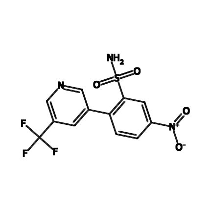 NS(=O)(=O)c1cc([N+](=O)[O-])ccc1-c1cncc(C(F)(F)F)c1